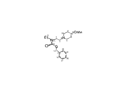 CCN(CCN1CCC(OC)CC1)C(=O)OCc1ccccc1